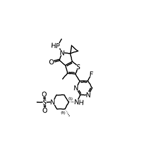 CPN1C(=O)c2c(sc(-c3nc(N[C@H]4CCN(S(C)(=O)=O)C[C@H]4C)ncc3F)c2C)C12CC2